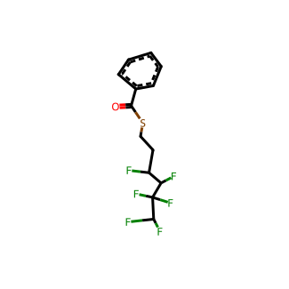 O=C(SCCC(F)C(F)C(F)(F)C(F)F)c1ccccc1